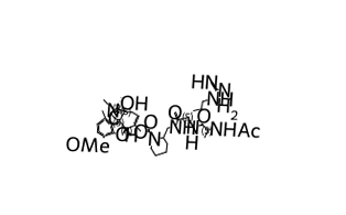 COc1ccc(C)c2c1O[C@H]1C(OC(=O)N3CCCCC3CNC(=O)[C@H](CCCNC(=N)N)NC(=O)[C@H](C)NC(C)=O)=CC[C@@]3(O)[C@@H](C)N(C)CC[C@]213